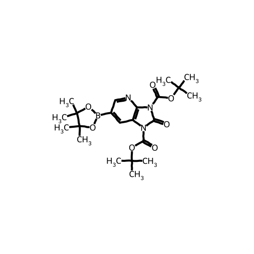 CC(C)(C)OC(=O)n1c(=O)n(C(=O)OC(C)(C)C)c2ncc(B3OC(C)(C)C(C)(C)O3)cc21